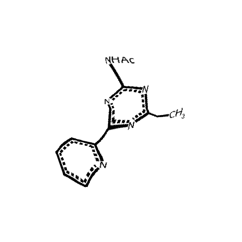 CC(=O)Nc1nc(C)nc(-c2ccccn2)n1